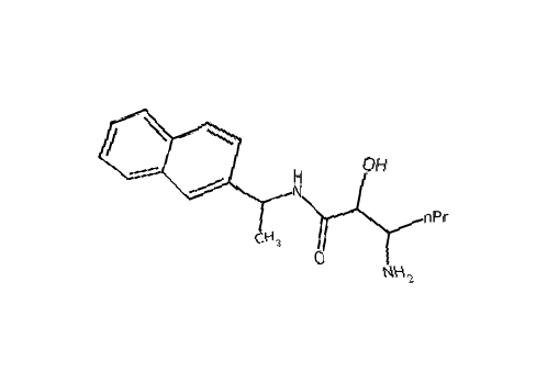 CCCC(N)C(O)C(=O)NC(C)c1ccc2ccccc2c1